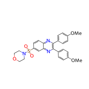 COc1ccc(-c2nc3ccc(S(=O)(=O)N4CCOCC4)cc3nc2-c2ccc(OC)cc2)cc1